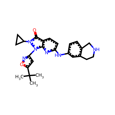 CC(C)(C)c1cc(-n2c3nc(Nc4ccc5c(c4)CCNC5)ccc3c(=O)n2C2CC2)no1